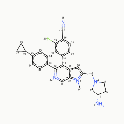 Cn1c(CN2CC[C@H](N)C2)cc2c(-c3ccc(C#N)c(F)c3)c(-c3ccc(C4CC4)cc3)ncc21